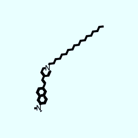 CCCCCCCCCCCCCCCCCCN1C=CC(/C=C/c2ccc3cc(N(C)C)ccc3c2)=CC1